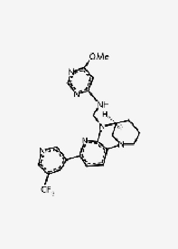 COc1cc(NCN2c3nc(-c4cncc(C(F)(F)F)c4)ccc3N3CCC[C@H]2C3)ncn1